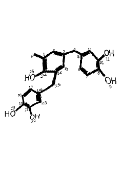 Cc1cc(Cc2ccc(O)c(O)c2)cc(Cc2ccc(O)c(O)c2)c1O